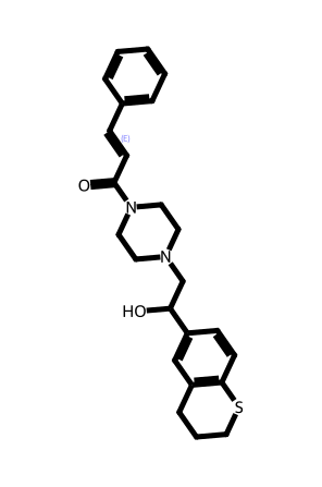 O=C(/C=C/c1ccccc1)N1CCN(CC(O)c2ccc3c(c2)CCCS3)CC1